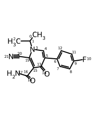 CC(C)n1cc(-c2ccc(F)cc2)c(=O)c(C(N)=O)c1C#N